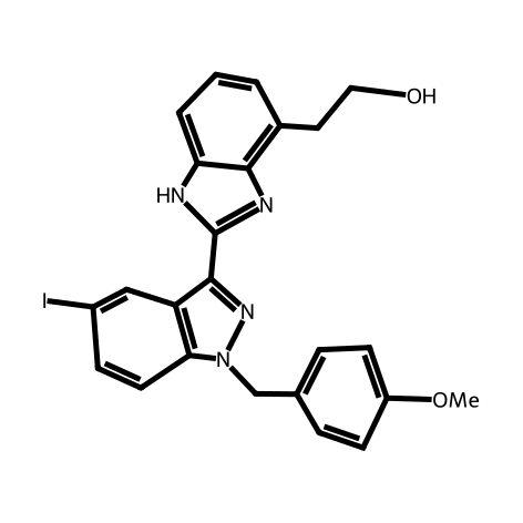 COc1ccc(Cn2nc(-c3nc4c(CCO)cccc4[nH]3)c3cc(I)ccc32)cc1